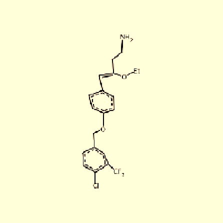 CCOC(=Cc1ccc(OCc2ccc(Cl)c(C(F)(F)F)c2)cc1)CCN